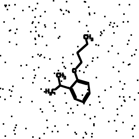 CCCCOc1cc[c]cc1C(C)C